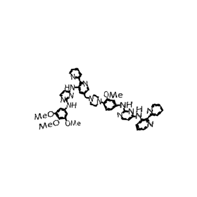 COc1cc(Nc2nccc(Nc3cccnc3-c3ccccn3)n2)ccc1N1CCN(Cc2cnc(-c3ccccn3)c(Nc3ccnc(Nc4cc(OC)c(OC)c(OC)c4)n3)c2)CC1